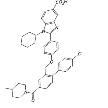 CC1CCN(C(=O)c2ccc(-c3ccc(Cl)cc3)c(COc3ccc(-c4nc5cc(C(=O)O)ccc5n4C4CCCCC4)cc3)c2)CC1